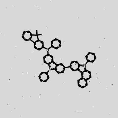 CC1(C)c2ccccc2-c2ccc(N(c3ccccc3)c3ccc4c(c3)c3cc(-c5ccc6c(c5)c5c7ccccc7ccc5n6-c5ccccc5)ccc3n4-c3ccccc3)cc21